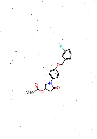 CNC(=O)O[C@H]1CC(=O)N(c2ccc(OCc3cccc(F)c3)cc2)C1